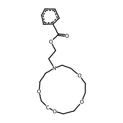 O=C(OCCN1CCOCCOCCOCCOCC1)c1ccccc1